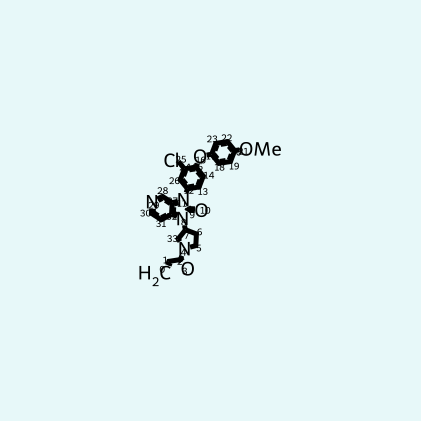 C=CC(=O)N1CCC(n2c(=O)n(-c3ccc(Oc4ccc(OC)cc4)c(Cl)c3)c3cnccc32)C1